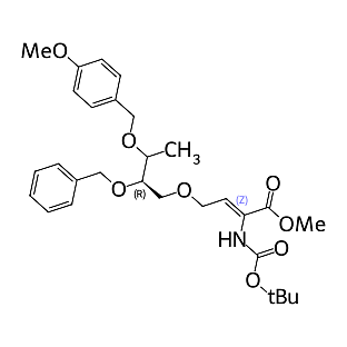 COC(=O)/C(=C/COC[C@@H](OCc1ccccc1)C(C)OCc1ccc(OC)cc1)NC(=O)OC(C)(C)C